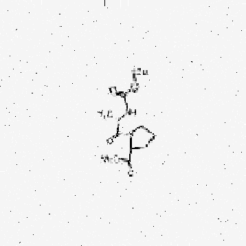 COC(=O)C1CCCN1C(=O)[C@H](C)NC(=O)OC(C)(C)C